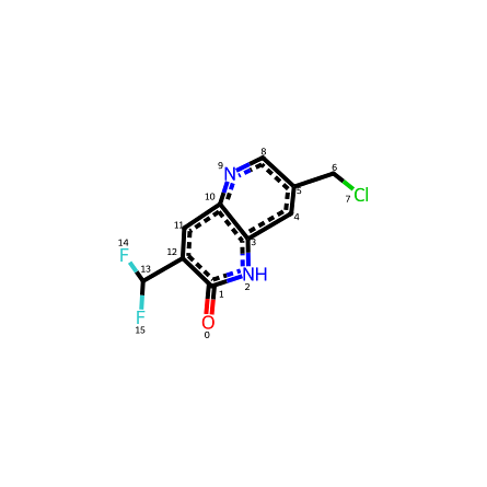 O=c1[nH]c2cc(CCl)cnc2cc1C(F)F